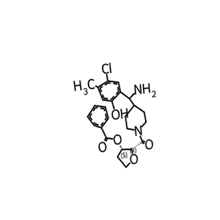 Cc1cc(O)c(C(N)C2CCN(C(=O)[C@@H]3OCC[C@@H]3OC(=O)c3ccccc3)CC2)cc1Cl